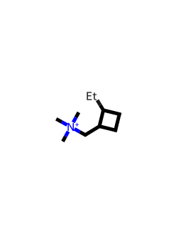 CCC1CCC1C[N+](C)(C)C